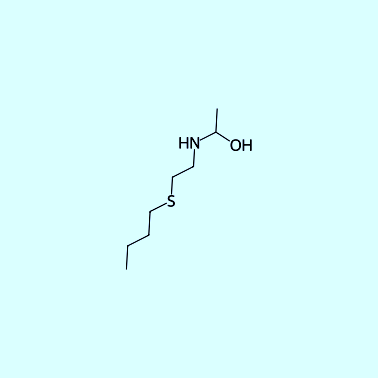 CCCCSCCNC(C)O